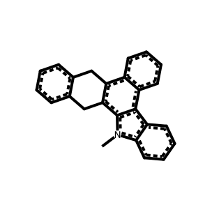 Cn1c2ccccc2c2c3ccccc3c3c(c21)Cc1ccccc1C3